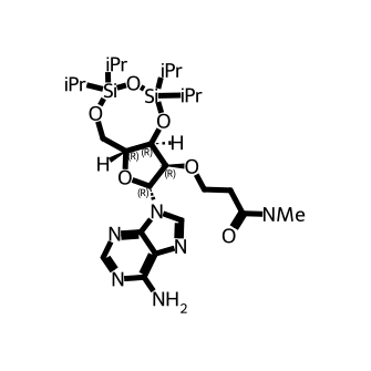 CNC(=O)CCO[C@@H]1[C@@H]2O[Si](C(C)C)(C(C)C)O[Si](C(C)C)(C(C)C)OC[C@H]2O[C@H]1n1cnc2c(N)ncnc21